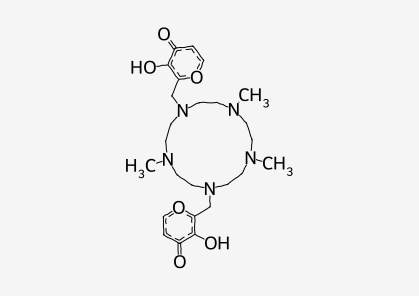 CN1CCN(C)CCN(Cc2occc(=O)c2O)CCN(C)CCN(Cc2occc(=O)c2O)CC1